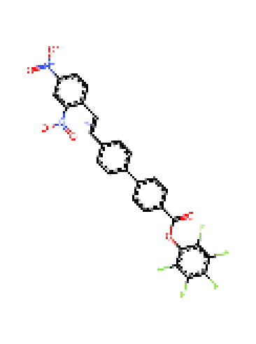 O=C(Oc1c(F)c(F)c(F)c(F)c1F)c1ccc(-c2ccc(/C=C/c3ccc([N+](=O)[O-])cc3[N+](=O)[O-])cc2)cc1